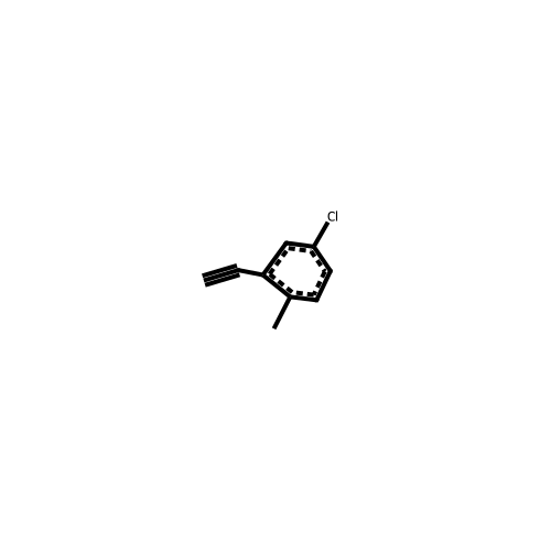 C#Cc1cc(Cl)ccc1C